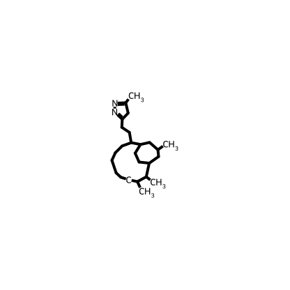 CC1=NN=C(CCC2CCCCCCC(C)C(C)C3CCC2CC(C)C3)C1